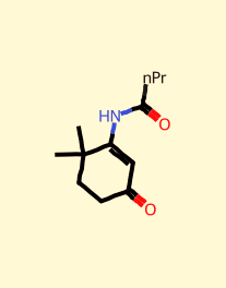 CCCC(=O)NC1=CC(=O)CCC1(C)C